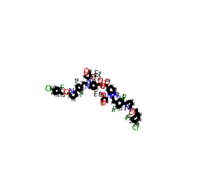 CCO[C@H]1COC[C@H]1n1c(Cc2cc(F)c(-c3cccc(OCc4ccc(Cl)cc4F)n3)cc2F)nc2ccc(C(=O)OC(=O)c3ccc4nc(Cc5cc(F)c(-c6cccc(OCc7ccc(Cl)cc7F)n6)cc5F)n([C@@H]5COC[C@@H]5OCC)c4c3)cc21